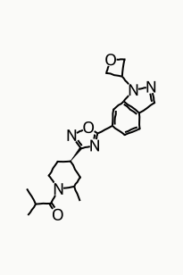 CC(C)C(=O)N1CC[C@@H](c2noc(-c3ccc4cnn(C5COC5)c4c3)n2)CC1C